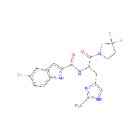 Cc1nc(CC(NC(=O)c2cc3cc(Cl)ccc3[nH]2)C(=O)N2CCC(F)(F)C2)c[nH]1